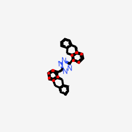 c1ccc2c(c1)C1c3ccccc3C2c2c(-c3nnc(-c4cccc5c4C4c6ccccc6C5c5ccccc54)nn3)cccc21